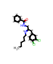 CCCCCCN=C(CNC(=O)c1ccccc1)Cc1ccc(Cl)c(Cl)c1